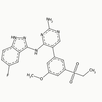 CCS(=O)(=O)c1cc(OC)cc(-c2cnc(N)nc2Nc2n[nH]c3ccc(F)cc23)c1